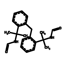 CC(C)(NC=O)c1ccccc1Cc1ccccc1C(C)(C)NC=O